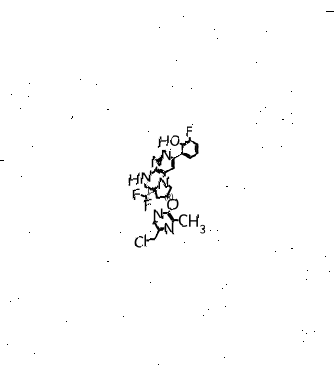 Cc1nc(CCl)cnc1O[C@H]1CN2c3cc(-c4cccc(F)c4O)nnc3NC[C@]2(C(F)F)C1